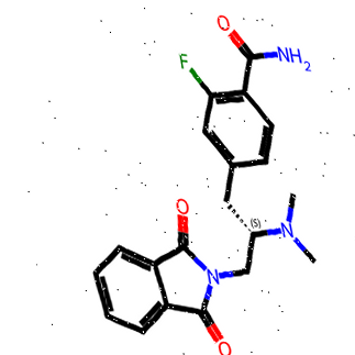 CN(C)[C@@H](Cc1ccc(C(N)=O)c(F)c1)CN1C(=O)c2ccccc2C1=O